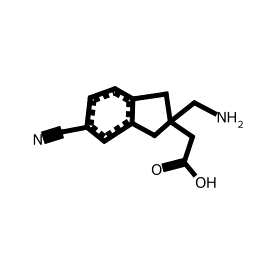 N#Cc1ccc2c(c1)CC(CN)(CC(=O)O)C2